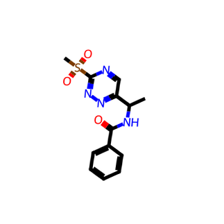 CC(NC(=O)c1ccccc1)c1cnc(S(C)(=O)=O)nn1